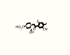 N#Cc1cc(C(=O)CN2CCN(C(=O)O)C[C@H]2CO)c(F)cc1F